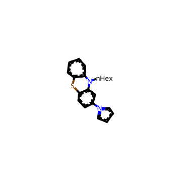 CCCCCCN1c2ccccc2Sc2ccc(-n3cccc3)cc21